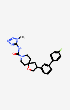 Cn1nnnc1NC(=O)N1CCC2(CC1)CC(c1cccc(-c3ccc(F)cc3)c1)CO2